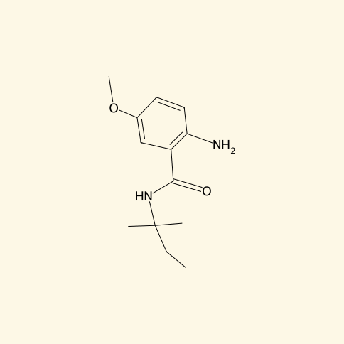 CCC(C)(C)NC(=O)c1cc(OC)ccc1N